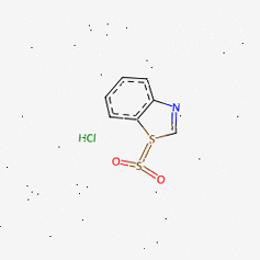 Cl.O=S(=O)=S1C=Nc2ccccc21